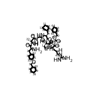 CC(C)C[C@H](NC(=O)[C@H](Cc1ccccc1)NC(=O)CNC(=O)[C@@H](C)NC(=O)[C@@H](N)Cc1ccc(OCc2ccccc2)cc1)C(=O)N[C@@H](CCCNC(=N)N)C(=O)OC(=O)OCc1ccccc1